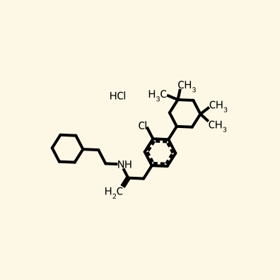 C=C(Cc1ccc(C2CC(C)(C)CC(C)(C)C2)c(Cl)c1)NCCC1CCCCC1.Cl